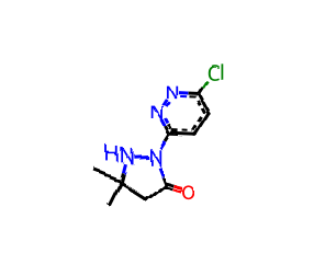 CC1(C)CC(=O)N(c2ccc(Cl)nn2)N1